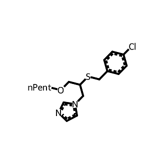 CCCCCOCC(Cn1ccnc1)SCc1ccc(Cl)cc1